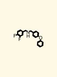 Fc1ccc(CNCc2ccc(Oc3ccccc3)cc2)cc1F